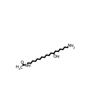 CC(=O)NCCCCCCCCCCCC(O)CCCCCCN